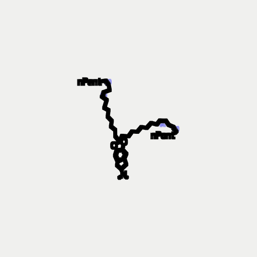 CCCCC/C=C\C/C=C\CCCCCCCCC1(CCCCCCCC/C=C\C/C=C\CCCCC)Oc2cc3c(cc2O1)CC(N(C)C)C3